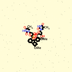 COc1ccc(C(OC[C@H]2O[C@@H](n3cc(C)c(=O)[nH]c3=O)C[C@@]2(O)P(=S)(OCCC#N)OC[C@H]2O[C@@H](n3cc(C)c(=O)[nH]c3=O)C[C@@H]2O)(c2ccccc2)c2ccc(OC)cc2)cc1